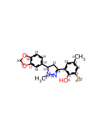 Cc1cc(Br)c(O)c(C2=NN(C)C(c3ccc4c(c3)OCO4)C2)c1